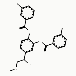 Cc1cccc(C(=O)Oc2ccc(C(O)CNC(C)(C)C)cc2OC(=O)c2cccc(C)c2)c1.Cl